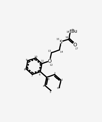 C/C=C\C(=C/C)c1ccccc1OCCSC(=O)C(C)(C)C